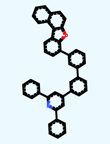 c1ccc(-c2cc(-c3cccc(-c4cccc(-c5cccc6c5oc5ccc7ccccc7c56)c4)c3)cc(-c3ccccc3)n2)cc1